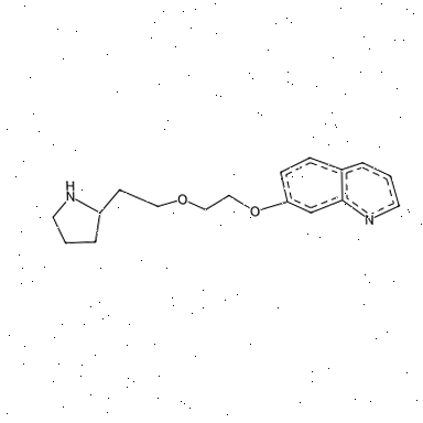 c1cnc2cc(OCCOCCC3CCCN3)ccc2c1